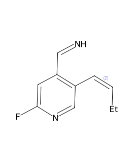 CC/C=C\c1cnc(F)cc1C=N